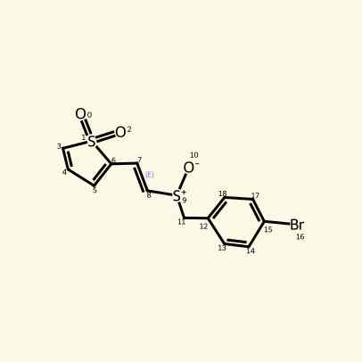 O=S1(=O)C=CC=C1/C=C/[S+]([O-])Cc1ccc(Br)cc1